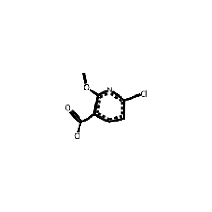 COc1nc(Cl)ccc1C(=O)Cl